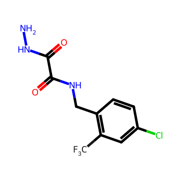 NNC(=O)C(=O)NCc1ccc(Cl)cc1C(F)(F)F